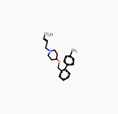 CCOC(=O)C=CCN1CCC(OCc2ccccc2-c2ccc(C)cc2)CC1